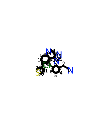 N#CCc1cccc(Cl)c1-n1cnc2cnc3ccc(-c4ccsc4)cc3c21